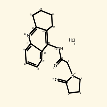 Cl.O=C(CN1CCCC1=O)Nc1c2c(nc3ccccc13)CCCC2